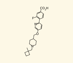 CC1(CN2CCC(COc3ccc(-c4ccc(C(=O)O)cc4F)nc3)CC2)CCC1